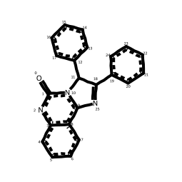 O=c1nc2ccccc2c2n1C(c1ccccc1)C(c1ccccc1)=N2